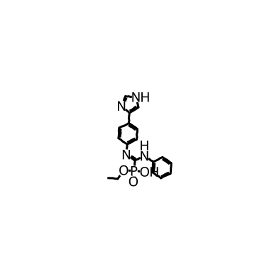 CCOP(=O)(O)C(=Nc1ccc(-c2c[nH]cn2)cc1)Nc1ccccc1